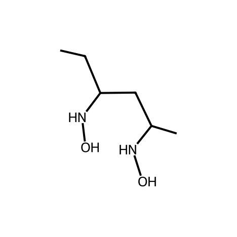 CCC(CC(C)NO)NO